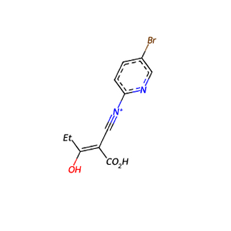 CC/C(O)=C(\C#[N+]c1ccc(Br)cn1)C(=O)O